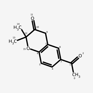 CC(=O)c1ccc2c(c1)CC(=O)C(C)(C)O2